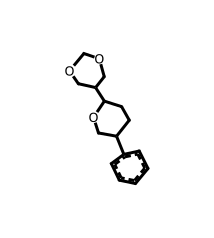 c1ccc(C2CCC(C3COCOC3)OC2)cc1